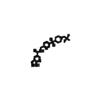 CC(F)(F)CN1CCC(S(=O)(=O)c2ccc(CNC(=O)c3cnc4[nH]ncc4c3)nc2)CC1